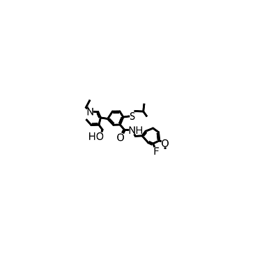 C\C=N/C=C(\C(=C/C)CO)c1ccc(SCC(C)C)c(C(=O)NCC2=CCC=C(OC)C(F)=C2)c1